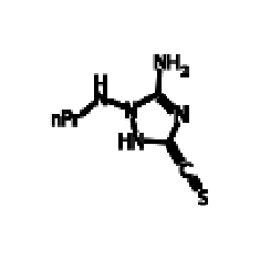 CCCNN1NC(=C=S)N=C1N